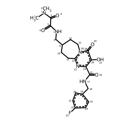 CN(C)C(=O)C(=O)NCC1CCc2nc(C(=O)NCc3ccc(F)cc3)c(O)c(=O)n2CC1